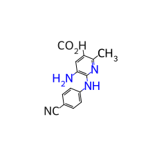 Cc1nc(Nc2ccc(C#N)cc2)c(N)cc1C(=O)O